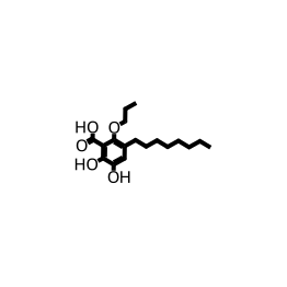 CCCCCCCCc1cc(O)c(O)c(C(=O)O)c1OCCC